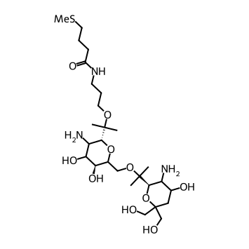 CSCCCC(=O)NCCCOC(C)(C)[C@@H]1OC(COC(C)(C)[C@@H]2OC(CO)(CO)CC(O)C2N)[C@@H](O)C(O)C1N